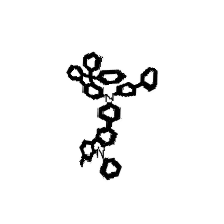 CC1C=CC2c3cc(-c4ccc(N(c5ccc(-c6ccccc6)cc5)c5ccc6c(c5)C(c5ccccc5)(C5C=CC=CC5)c5ccccc5-6)cc4)ccc3N(c3ccccc3)C2C1